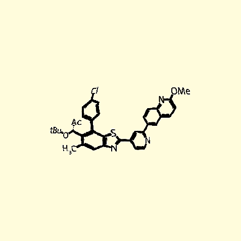 COc1ccc2cc(-c3cc(-c4nc5cc(C)c([C@H](OC(C)(C)C)C(C)=O)c(-c6ccc(Cl)cc6)c5s4)ccn3)ccc2n1